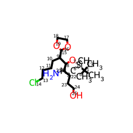 CC(C)(C)[Si](C)(C)OC(C(CCCCCl)C1OCCO1)[C@@H](N)CCCO